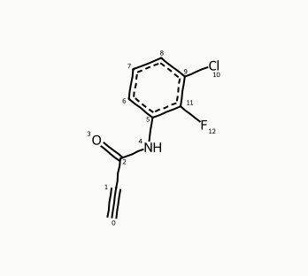 C#CC(=O)Nc1cccc(Cl)c1F